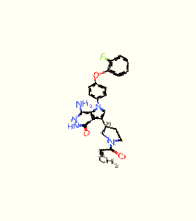 C=CC(=O)N1CC[C@H](c2cn(-c3ccc(Oc4ccccc4F)cc3)c3c(N)n[nH]c(=O)c23)C1